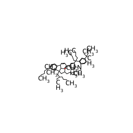 CCCCC(CC)CC1(CC(CC)CCCC)c2cc(C(C)(C)CCCC)ccc2C2C=CC(c3ccc4c(c3)C(CCCC)(CCCC)c3cc(C(C)(CC)CCC)ccc3N4CC)=CC21